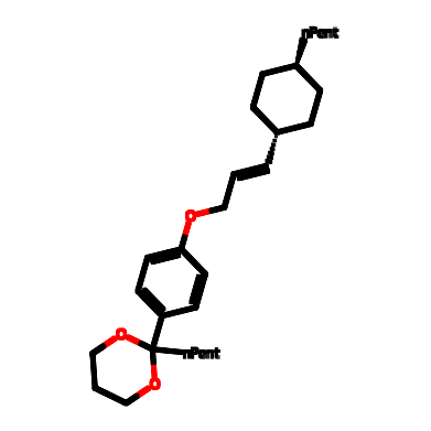 CCCCCC1(c2ccc(OCC=C[C@H]3CC[C@H](CCCCC)CC3)cc2)OCCCO1